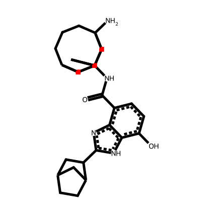 NC12CCCC3CC(C1)CC(NC(=O)c1ccc(O)c4[nH]c(C5CC6CCC5C6)nc14)(C3)C2